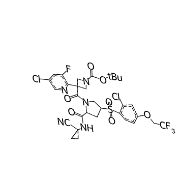 CC(C)(C)OC(=O)N1CC(C(=O)N2CC(S(=O)(=O)c3ccc(OCC(F)(F)F)cc3Cl)CC2C(=O)NC2(C#N)CC2)(c2ncc(Cl)cc2F)C1